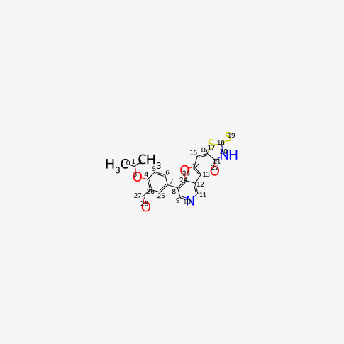 CC(C)Oc1ccc(-c2cncc3cc(C=C4SC(=S)NC4=O)oc23)cc1C=O